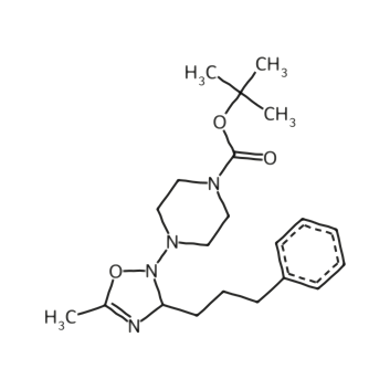 CC1=NC(CCCc2ccccc2)N(N2CCN(C(=O)OC(C)(C)C)CC2)O1